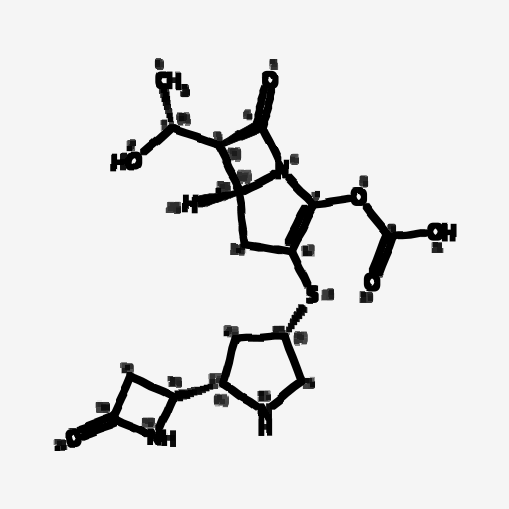 C[C@@H](O)[C@H]1C(=O)N2C(OC(=O)O)=C(S[C@@H]3CN[C@H](C4CC(=O)N4)C3)C[C@H]12